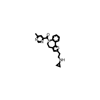 Cc1cc(C(=O)N2CCc3cc(CCNC4CC4)sc3-c3ccccc32)ncn1